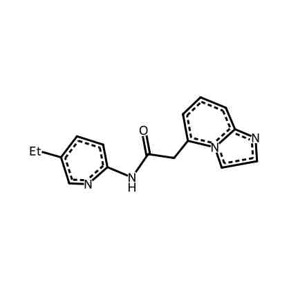 CCc1ccc(NC(=O)Cc2cccc3nccn23)nc1